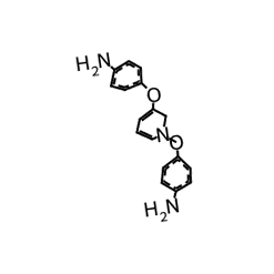 Nc1ccc(OC2=CC=CN(Oc3ccc(N)cc3)C2)cc1